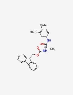 COc1ccc(NC(=O)[C@H](C)NC(=O)OCC2c3ccccc3-c3ccccc32)cc1C(=O)O